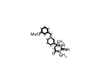 COc1cccc(CN2CCCC([C@]3(C)CC(=O)N(C)C(=N)N3)C2)c1